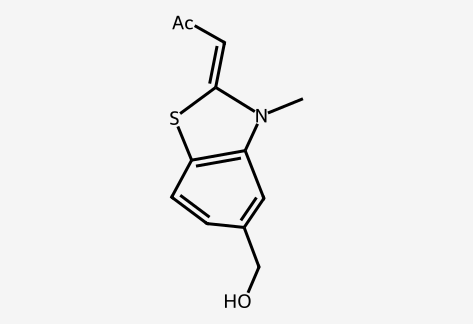 CC(=O)/C=C1\Sc2ccc(CO)cc2N1C